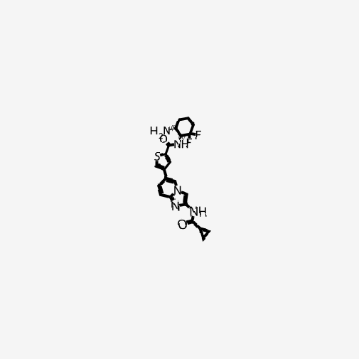 N[C@@H]1CCCC(F)(F)[C@@H]1NC(=O)c1cc(-c2ccc3nc(NC(=O)C4CC4)cn3c2)cs1